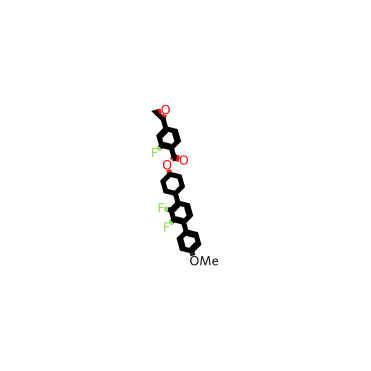 COc1ccc(-c2ccc(C3CCC(OC(=O)c4ccc(C5CO5)cc4F)CC3)c(F)c2F)cc1